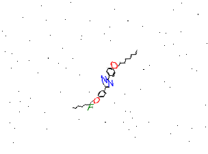 CCCCCCCCOc1ccc(-c2ncc(-c3ccc(OCC(F)CCCCC)cc3)cn2)cc1